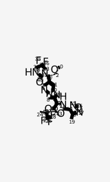 COC[C@H](c1cnn2cc([C@@H](NC(=O)c3nonc3C)[C@@H](C)O[C@H](C)C(F)(F)F)nc2c1)N1CC(F)(F)CNC1=O